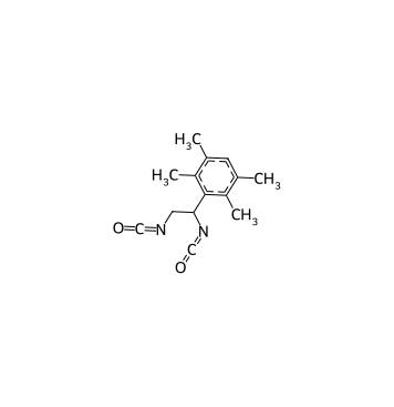 Cc1cc(C)c(C)c(C(CN=C=O)N=C=O)c1C